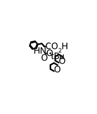 C1CCOCC1.C1CCOCC1.CC(C)(C)OC(=O)NC(Cc1ccccc1)C(=O)O